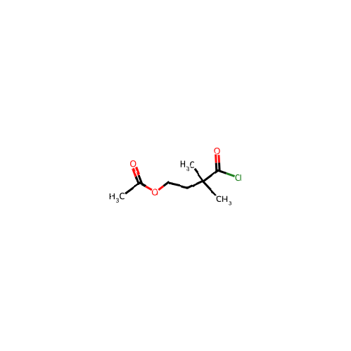 CC(=O)OCCC(C)(C)C(=O)Cl